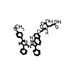 COc1ccc(C2=NC(=Nc3[nH]c4c(c3-c3ccccc3)CCc3cc(OCC(=O)NC(CCC(=O)O)C(=O)O)ccc3-4)C(c3ccccc3)=C2I)cc1